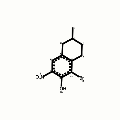 CC1CCc2c(cc([N+](=O)[O-])c(O)c2Br)C1